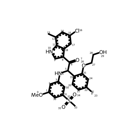 COc1cc(NC(C(=O)c2c[nH]c3c(C)cc(Cl)cc23)c2ccc(F)cc2OCCO)cc(S(C)(=O)=O)c1